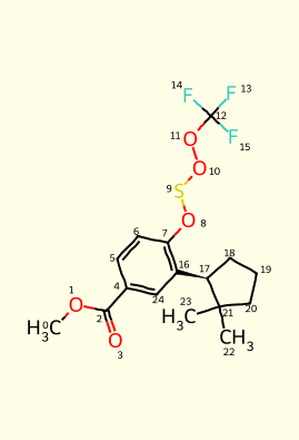 COC(=O)c1ccc(OSOOC(F)(F)F)c([C@H]2CCCC2(C)C)c1